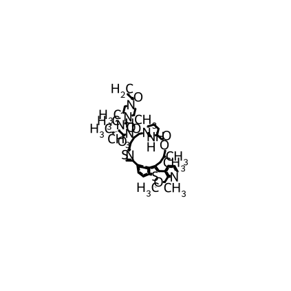 C=CC(=O)N1C[C@@H](C)N(C(=O)N(C)[C@H](C(=O)N[C@H]2Cc3nc(cs3)-c3ccc4sc(-c5cccnc5[C@H](C)OC)c(c4c3)CC(C)(C)COC(=O)[C@@H]3CCCN(N3)C2=O)C(C)C)[C@H](C)C1